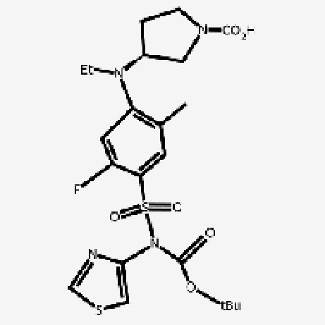 CCN(c1cc(F)c(S(=O)(=O)N(C(=O)OC(C)(C)C)c2cscn2)cc1C)[C@H]1CCN(C(=O)O)C1